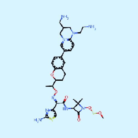 COSON1C(=O)C(NC(=O)/C(=N\OC(C)C2CCc3cc(-c4ccc5[n+](c4)CC(CN)CN5CCN)ccc3O2)c2csc(N)n2)C1(C)C